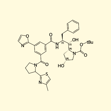 Cc1csc(C2CCCN2C(=O)c2cc(C(=O)N[C@@H](Cc3ccccc3)[C@H](O)[C@H]3C[C@@H](O)CN3C(=O)OC(C)(C)C)cc(-c3ncco3)c2)n1